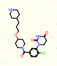 O=C1CCN(c2cc(C(=O)N3CCC(OCCCC4CCNCC4)CC3)ccc2Cl)C(=O)N1